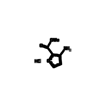 COC(=O)c1occc1N.Cl